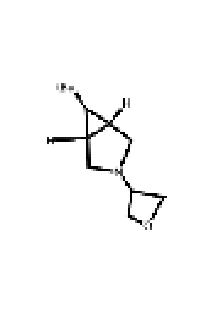 CC(C)(C)[C@H]1[C@@H]2CN(C3COC3)C[C@@H]21